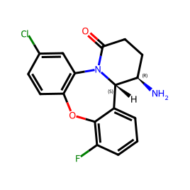 N[C@@H]1CCC(=O)N2c3cc(Cl)ccc3Oc3c(F)cccc3[C@@H]12